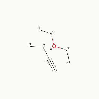 C#CCC.CCOCC